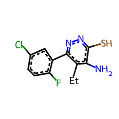 CCc1c(-c2cc(Cl)ccc2F)nnc(S)c1N